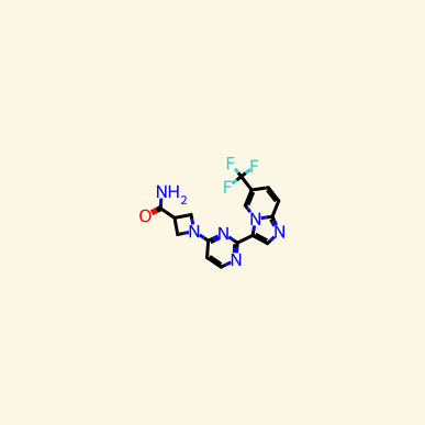 NC(=O)C1CN(c2ccnc(-c3cnc4ccc(C(F)(F)F)cn34)n2)C1